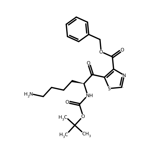 CC(C)(C)OC(=O)N[C@@H](CCCCN)C(=O)c1s[c]nc1C(=O)OCc1ccccc1